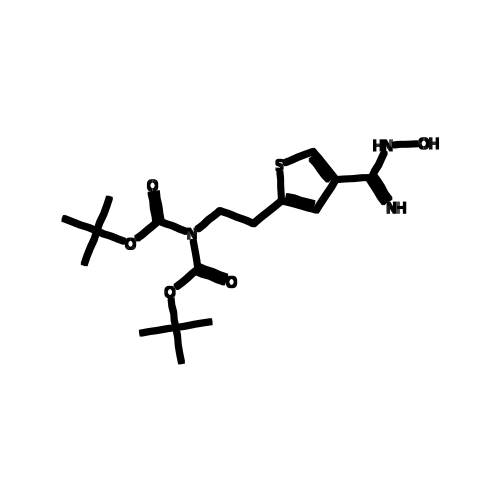 CC(C)(C)OC(=O)N(CCc1cc(C(=N)NO)cs1)C(=O)OC(C)(C)C